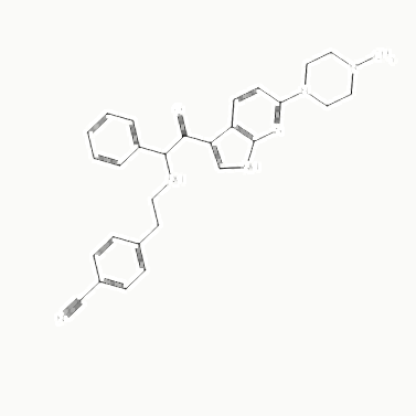 CN1CCN(c2ccc3c(C(=O)C(NCCc4ccc(C#N)cc4)c4ccccc4)c[nH]c3n2)CC1